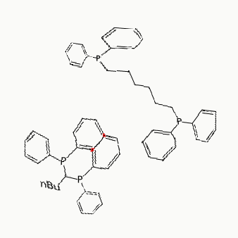 CCCCC(P(c1ccccc1)c1ccccc1)P(c1ccccc1)c1ccccc1.c1ccc(P(CCCCCCP(c2ccccc2)c2ccccc2)c2ccccc2)cc1